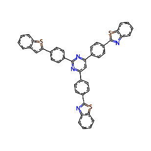 c1ccc2sc(-c3ccc(-c4nc(-c5ccc(-c6nc7ccccc7s6)cc5)cc(-c5ccc(-c6nc7ccccc7s6)cc5)n4)cc3)cc2c1